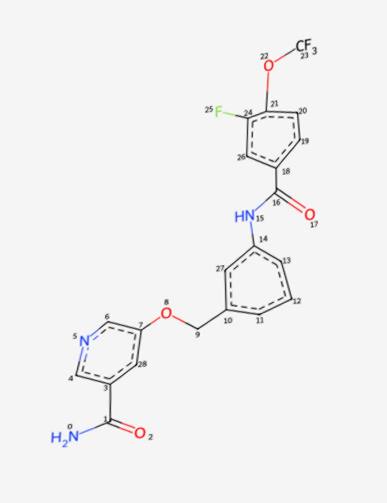 NC(=O)c1cncc(OCc2cccc(NC(=O)c3ccc(OC(F)(F)F)c(F)c3)c2)c1